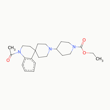 CCOC(=O)N1CCC(N2CCC3(CCN(C(C)=O)c4ccccc43)CC2)CC1